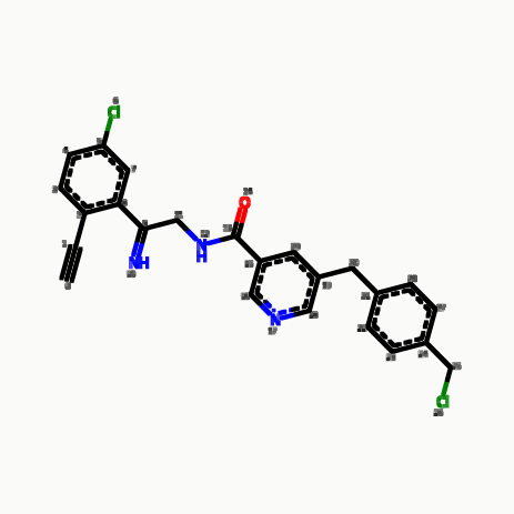 C#Cc1ccc(Cl)cc1C(=N)CNC(=O)c1cncc(Cc2ccc(CCl)cc2)c1